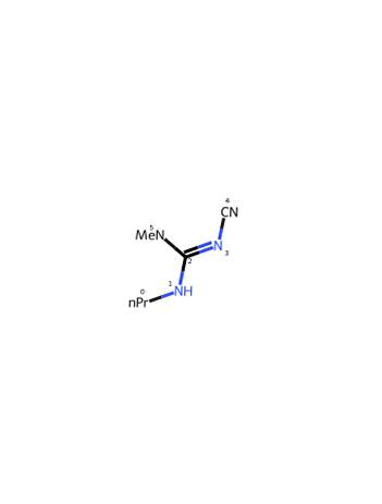 CCCN/C(=N/C#N)NC